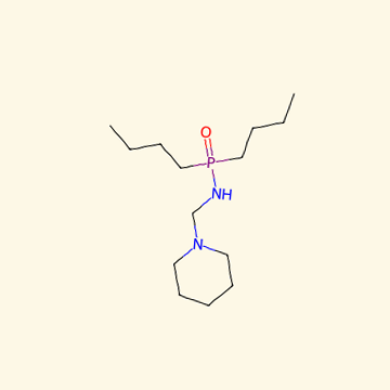 CCCCP(=O)(CCCC)NCN1CCCCC1